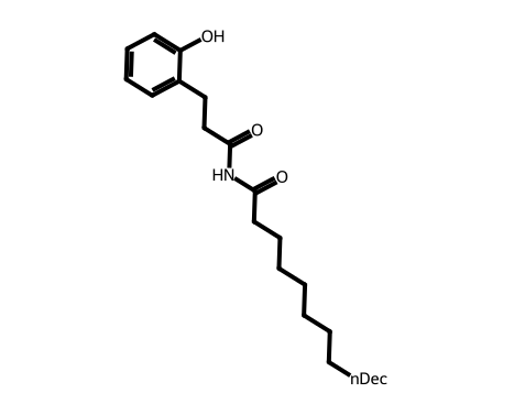 CCCCCCCCCCCCCCCCCC(=O)NC(=O)CCc1ccccc1O